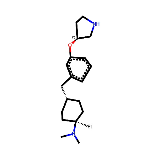 CC[C@]1(N(C)C)CC[C@H](Cc2cccc(O[C@H]3CCNC3)c2)CC1